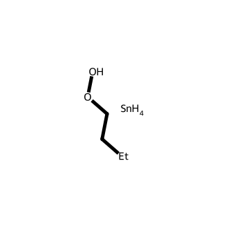 CCCCOO.[SnH4]